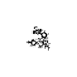 O=C1c2c(c(C(F)(F)F)nn2-c2cccc(-c3n[nH]c(=O)[nH]3)c2)CCN1c1ccc(I)cc1